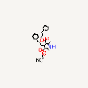 CC1=C(C(=O)OCCC#N)C(CCCc2ccccc2)C(C(=O)OCCCc2ccccc2)=C(C)N1